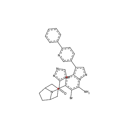 Nc1c(Br)c(C2CC3CCC(C2)N3C(=O)c2nnc[nH]2)nc2c(-c3ccc(-c4ccccc4)nc3)cnn12